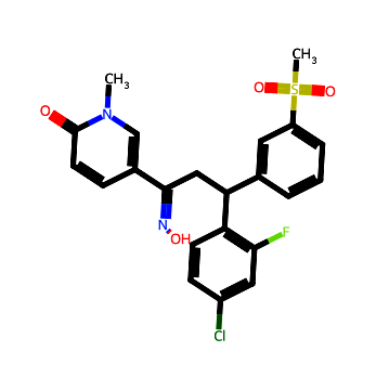 Cn1cc(/C(CC(c2cccc(S(C)(=O)=O)c2)c2ccc(Cl)cc2F)=N/O)ccc1=O